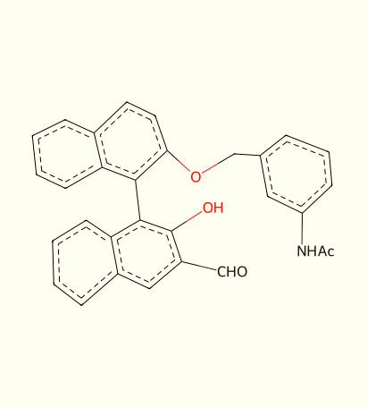 CC(=O)Nc1cccc(COc2ccc3ccccc3c2-c2c(O)c(C=O)cc3ccccc23)c1